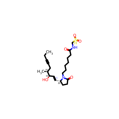 CCC#CC[C@H](C)[C@H](O)/C=C/[C@H]1CCC(=O)N1CCCCCCC(=O)NC[SH](=O)=O